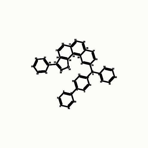 c1ccc(-c2ccc(N(c3ccccc3)c3ccc4ccc5ccc6c(-c7ccccc7)noc6c5c4c3)cc2)cc1